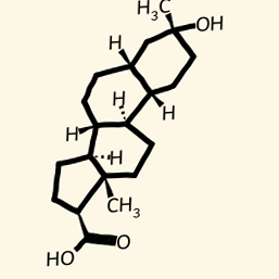 C[C@@]1(O)CC[C@H]2[C@H](CC[C@@H]3[C@@H]2CC[C@]2(C)[C@@H](C(=O)O)CC[C@@H]32)C1